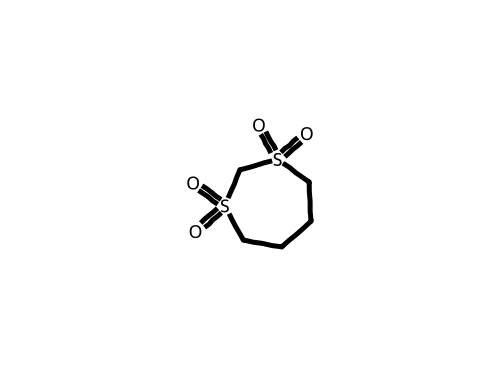 O=S1(=O)CCCCS(=O)(=O)C1